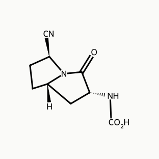 N#C[C@@H]1CC[C@H]2C[C@@H](NC(=O)O)C(=O)N21